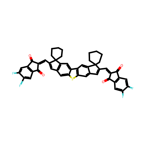 O=C1C(=CC2=Cc3cc4sc5cc6c(cc5c4cc3C23CCCCC3)C2(CCCCC2)C(C=C2C(=O)c3cc(F)c(F)cc3C2=O)=C6)C(=O)c2cc(F)c(F)cc21